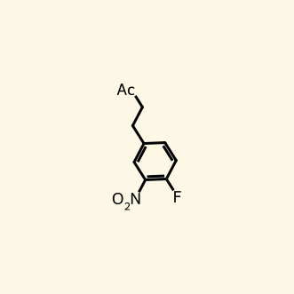 CC(=O)CCc1ccc(F)c([N+](=O)[O-])c1